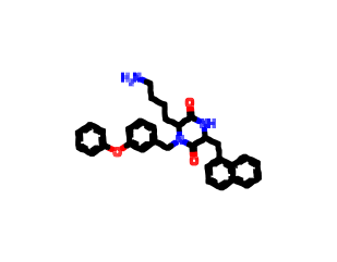 NCCCCC1C(=O)NC(Cc2cccc3ccccc23)C(=O)N1Cc1cccc(Oc2ccccc2)c1